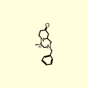 C[C@@H]1CN(Cc2ccccc2)CC2CC(=O)CCN21